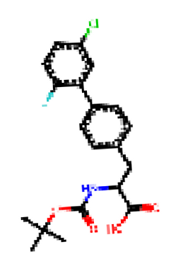 CC(C)(C)OC(=O)NC(Cc1ccc(-c2cc(Cl)ccc2F)cc1)C(=O)O